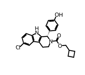 O=C(OCC1CCC1)N1CCc2c([nH]c3ccc(Cl)cc23)[C@@H]1c1ccc(O)cc1